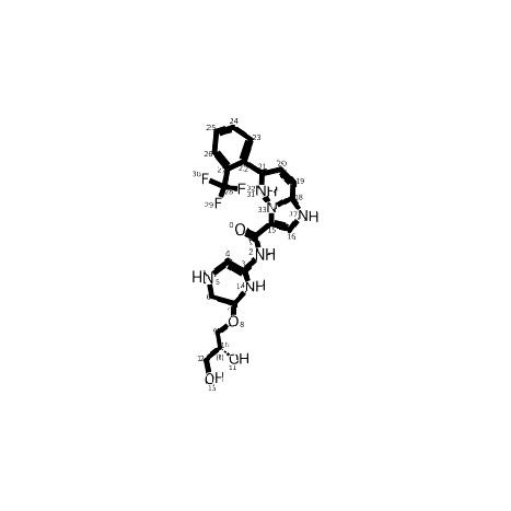 O=C(NC1=CNCC(OC[C@H](O)CO)N1)C1=CNC2C=CC(c3ccccc3C(F)(F)F)NN12